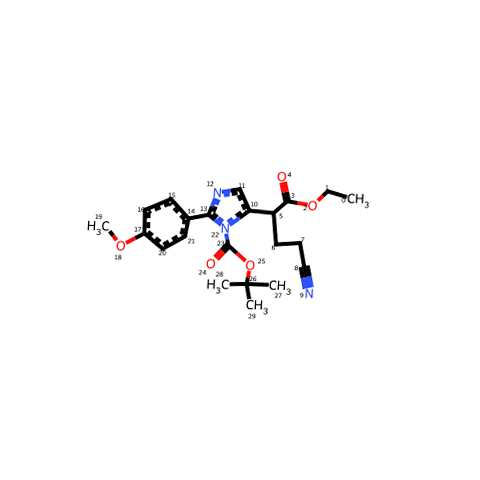 CCOC(=O)C(CCC#N)c1cnc(-c2ccc(OC)cc2)n1C(=O)OC(C)(C)C